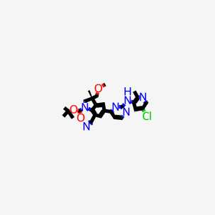 COC[C@@]1(C)CN(C(=O)OC(C)(C)C)c2c(C#N)cc(-c3ccnc(Nc4cc(Cl)cnc4C)n3)cc21